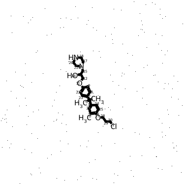 Cc1cc(C(C)(C)c2ccc(OCC(O)CN3CCNCC3)cc2)ccc1OCCCCl